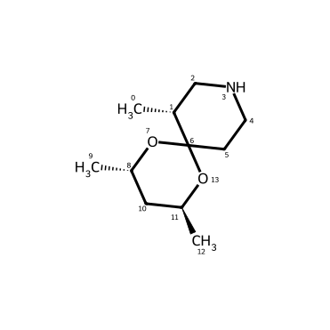 C[C@@H]1CNCCC12O[C@@H](C)C[C@H](C)O2